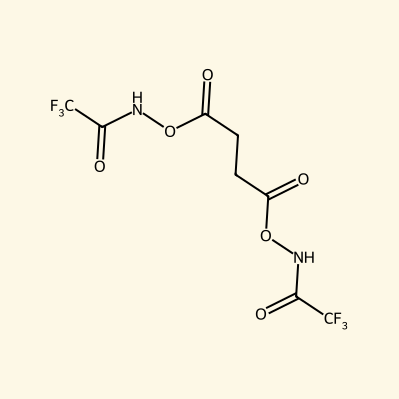 O=C(CCC(=O)ONC(=O)C(F)(F)F)ONC(=O)C(F)(F)F